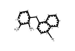 Nc1nccc(Cc2ccc(Br)c3ccccc23)c1N